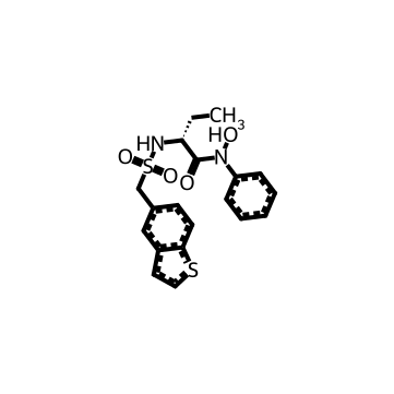 CC[C@@H](NS(=O)(=O)Cc1ccc2sccc2c1)C(=O)N(O)c1ccccc1